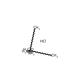 CCCCCCCCCCCCCCCCCC(=O)C(C)(C(=O)CCCCCCCCCCCCCCCCC)N(C)C.Cl